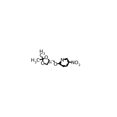 CC1(C)OC[C@@H](COc2ccc([N+](=O)[O-])cn2)O1